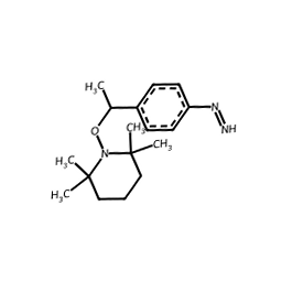 CC(ON1C(C)(C)CCCC1(C)C)c1ccc(N=N)cc1